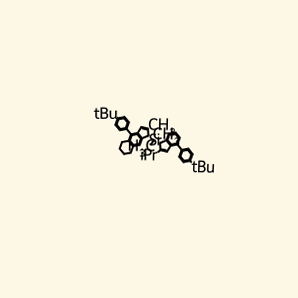 CC1=Cc2c(cc3c(c2-c2ccc(C(C)(C)C)cc2)CCCC3)C1[Si](C)(C)C1C(C(C)C)=Cc2c(-c3ccc(C(C)(C)C)cc3)cccc21